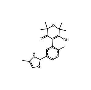 CC1=CSC(c2ccc(C)c(C3=C(O)C(C)(C)OC(C)(C)C3=O)c2)N1